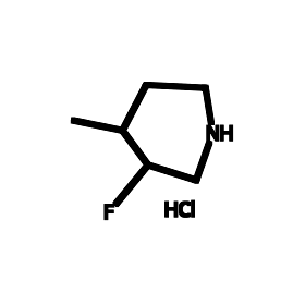 CC1CCNCC1F.Cl